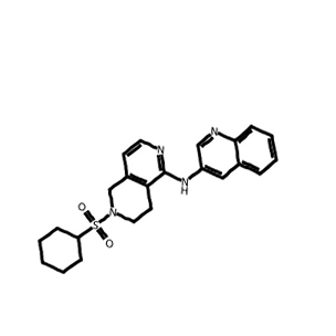 O=S(=O)(C1CCCCC1)N1CCc2c(ccnc2Nc2cnc3ccccc3c2)C1